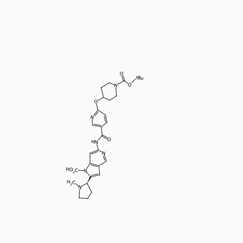 CN1CCC[C@@H]1c1cc2cnc(NC(=O)c3ccc(OC4CCN(C(=O)OC(C)(C)C)CC4)nc3)cc2n1C(=O)O